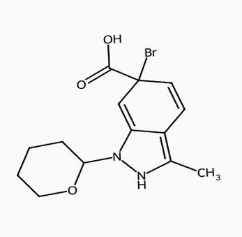 CC1=C2C=CC(Br)(C(=O)O)C=C2N(C2CCCCO2)N1